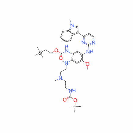 COc1cc(N(C)CCN(C)CCNC(=O)OC(C)(C)C)c(NC(=O)OCC[Si](C)(C)C)cc1Nc1nccc(-c2cn(C)c3ccccc23)n1